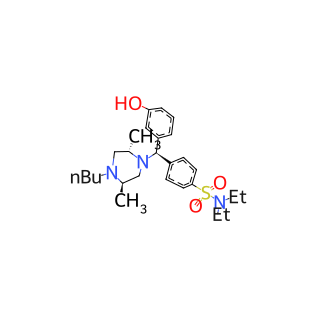 CCCCN1C[C@H](C)N([C@H](c2ccc(S(=O)(=O)N(CC)CC)cc2)c2cccc(O)c2)C[C@H]1C